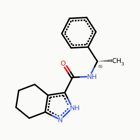 C[C@H](NC(=O)c1[nH]nc2c1CCCC2)c1ccccc1